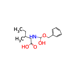 CC[C@H](C)[C@H](NC(O)OCc1ccccc1)C(=O)O